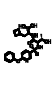 C[C@H](O)C(NS(=O)(=O)c1ccc(Oc2ccccc2)nc1)C(=O)N[C@@H](CC1CCC1)B(O)O